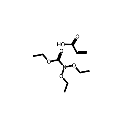 C=CC(=O)O.CCOC(=O)N(OCC)OCC